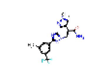 Cc1cc(-c2ncn(/C=C(/C(N)=O)c3cnn(C)c3)n2)cc(C(F)(F)F)c1